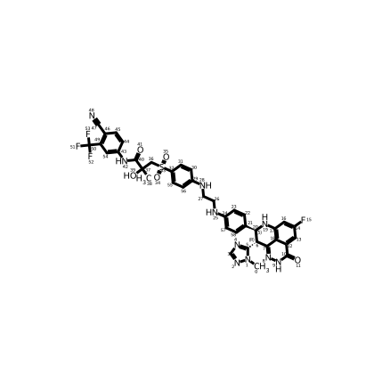 Cn1ncnc1[C@H]1c2n[nH]c(=O)c3cc(F)cc(c23)N[C@@H]1c1ccc(NCCNc2ccc(S(=O)(=O)CC(C)(O)C(=O)Nc3ccc(C#N)c(C(F)(F)F)c3)cc2)cc1